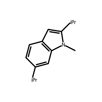 CC(C)c1ccc2cc(C(C)C)n(C)c2c1